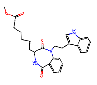 COC(=O)CCCCCC1NC(=O)c2ccccc2N(CCc2c[nH]c3ccccc23)C1=O